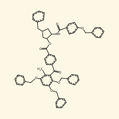 Cc1c(OCc2ccccc2)cc(OCc2ccccc2)c(OCc2ccccc2)c1C(=O)c1ccc(C(=O)OC2CN(Cc3ccccc3)CC2NC(=O)c2ccc(OCc3ccccc3)cc2)cc1